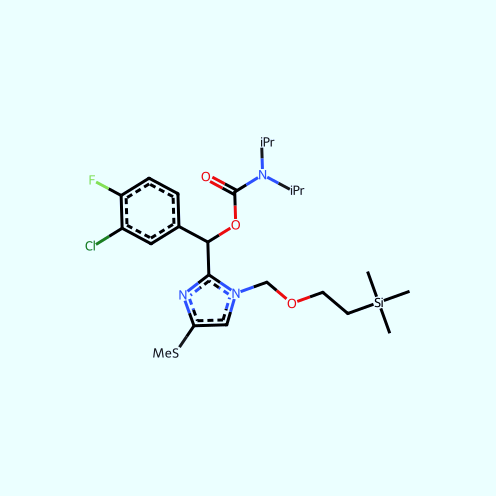 CSc1cn(COCC[Si](C)(C)C)c(C(OC(=O)N(C(C)C)C(C)C)c2ccc(F)c(Cl)c2)n1